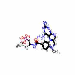 CCC(C)OP(=O)(O)CC(C)NC(=O)c1ccc(N(C)Cc2cnc3nc(N)nc(N)c3n2)cc1